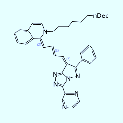 CCCCCCCCCCCCCCCCN1C=Cc2ccccc2/C1=C/C=C/C=c1/c(-c2ccccc2)nn2c(-c3cnccn3)nnc12